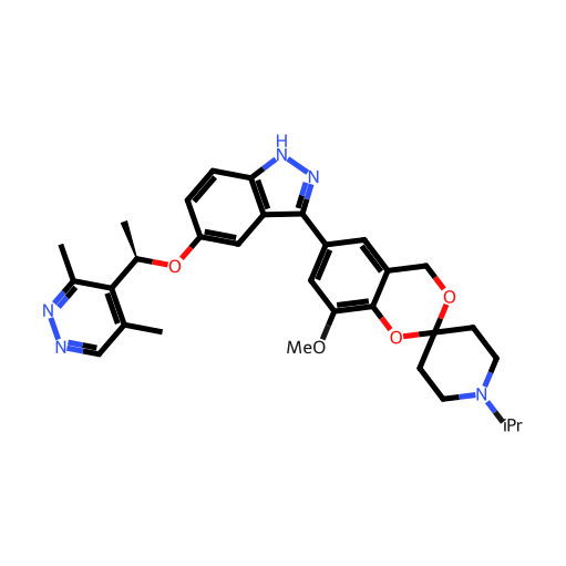 COc1cc(-c2n[nH]c3ccc(O[C@H](C)c4c(C)cnnc4C)cc23)cc2c1OC1(CCN(C(C)C)CC1)OC2